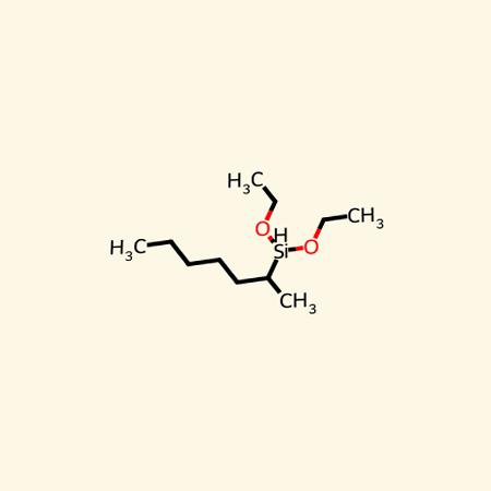 CCCCCC(C)[SiH](OCC)OCC